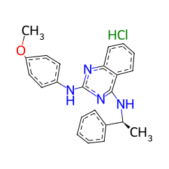 COc1ccc(Nc2nc(N[C@@H](C)c3ccccc3)c3ccccc3n2)cc1.Cl